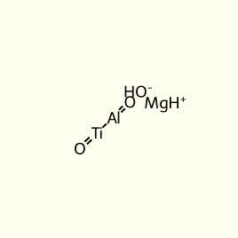 [MgH+].[OH-].[O]=[Al][Ti]=[O]